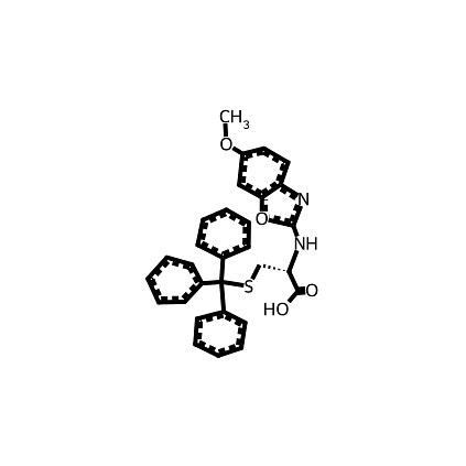 COc1ccc2nc(N[C@@H](CSC(c3ccccc3)(c3ccccc3)c3ccccc3)C(=O)O)oc2c1